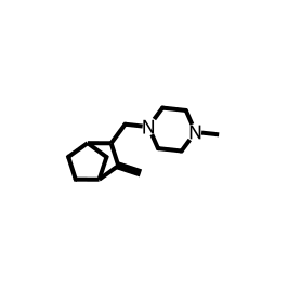 C=C1C2CCC(C2)C1CN1CCN(C)CC1